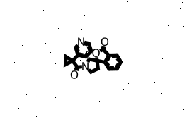 O=C1OC2(CCN(C(=O)C3(c4cccnc4)CC3)C2)c2ccccc21